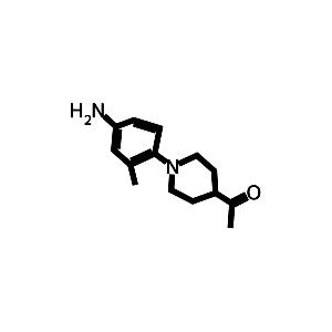 CC(=O)C1CCN(c2ccc(N)cc2C)CC1